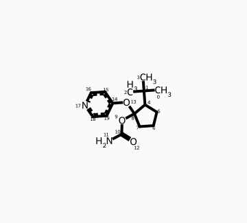 CC(C)(C)C1CCCC1(OC(N)=O)Oc1ccncc1